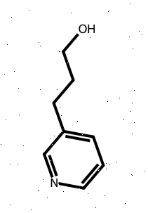 O[CH]CCc1cccnc1